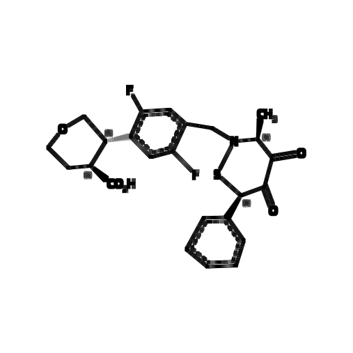 C[C@H]1C(=O)C(=O)[C@@H](c2ccccc2)SN1Cc1cc(F)c([C@H]2COCC[C@@H]2C(=O)O)cc1F